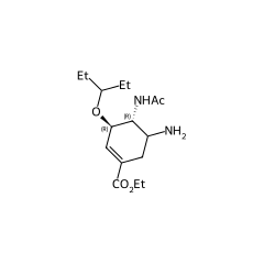 CCOC(=O)C1=C[C@@H](OC(CC)CC)[C@H](NC(C)=O)C(N)C1